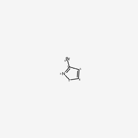 BrC1=NCC=C1